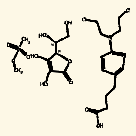 COS(C)(=O)=O.O=C(O)CCCc1ccc(N(CCCl)CCCl)cc1.O=C1O[C@H]([C@@H](O)CO)C(O)=C1O